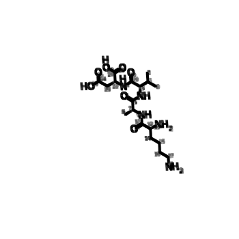 CC(C)[C@@H](NC(=O)[C@H](C)NC(=O)[C@@H](N)CCCCN)C(=O)N[C@@H](CC(=O)O)C(=O)O